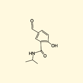 CC(C)NC(=O)c1cc(C=O)ccc1O